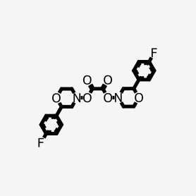 O=C(ON1CCOC(c2ccc(F)cc2)C1)C(=O)ON1CCOC(c2ccc(F)cc2)C1